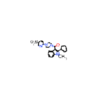 Cn1c(-c2ccccc2)c(C(=O)N2CCN(c3ccc([N+](=O)[O-])cn3)CC2)c2ccccc21